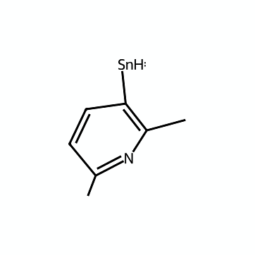 Cc1cc[c]([SnH])c(C)n1